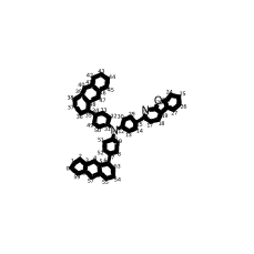 c1ccc2cc3c(-c4ccc(N(c5ccc(-c6ccc7c(n6)oc6ccccc67)cc5)c5ccc(-c6cccc7cc8ccccc8cc67)cc5)cc4)cccc3cc2c1